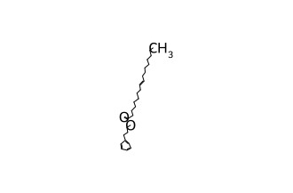 CCCCCCCC/C=C/CCCCCCCC(=O)OCCCc1ccccc1